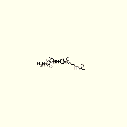 CCC(=O)NCCCCCNC(=O)c1ccc(NCc2cnc3nc(N)[nH]c(=O)c3n2)cc1